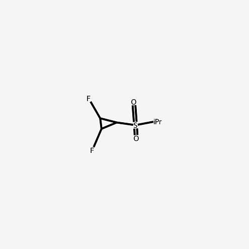 CC(C)S(=O)(=O)C1C(F)C1F